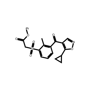 Cc1c(C(=O)c2cnoc2C2CC2)cccc1S(=O)(=O)CC(=O)OC(C)C